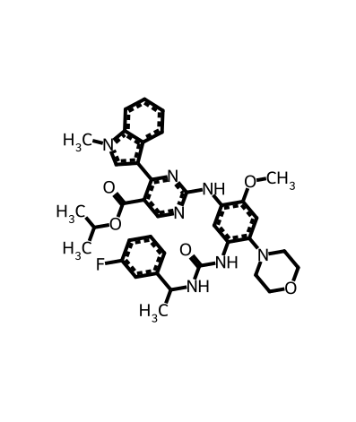 COc1cc(N2CCOCC2)c(NC(=O)NC(C)c2cccc(F)c2)cc1Nc1ncc(C(=O)OC(C)C)c(-c2cn(C)c3ccccc23)n1